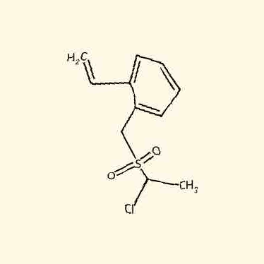 C=Cc1ccccc1CS(=O)(=O)C(C)Cl